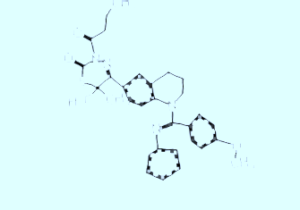 CCCC(=O)N1N=C(c2ccc3c(c2)CCCN3C(=Nc2ccccc2)c2ccc(OC)cc2)C(C)(C)SC1=O